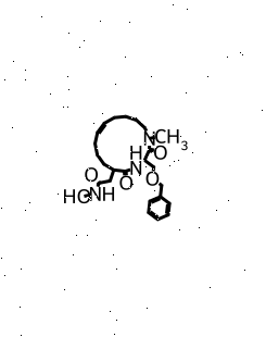 CN1CCCCC=CCCCC(CC(=O)NO)C(=O)NC(COCc2ccccc2)C1=O